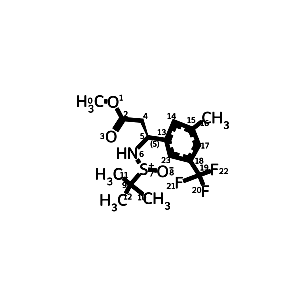 COC(=O)C[C@H](N[S+]([O-])C(C)(C)C)c1cc(C)cc(C(F)(F)F)c1